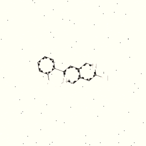 [O-][n+]1cc2cc(Cl)ncc2cc1-c1ccccc1Cl